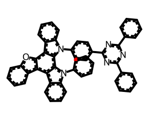 c1ccc(-c2nc(-c3ccccc3)nc(-c3ccc(-n4c5ccccc5c5c6oc7ccccc7c6c6c7ccccc7n(-c7ccccc7)c6c54)cc3)n2)cc1